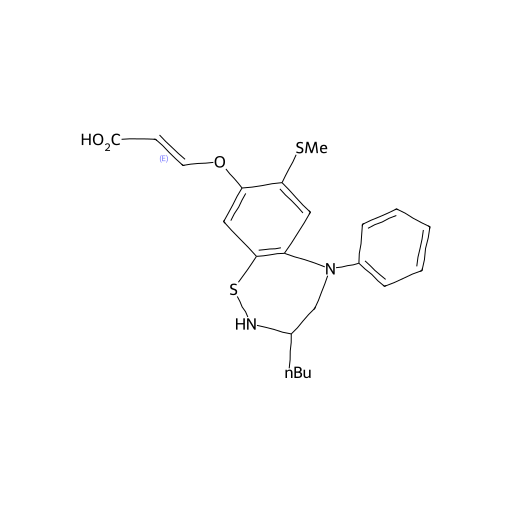 CCCCC1CN(c2ccccc2)c2cc(SC)c(O/C=C/C(=O)O)cc2SN1